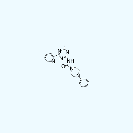 Cc1nc(NC(=O)N2CCN(c3ccccc3)CC2)nc(-c2ccccn2)n1